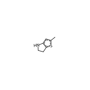 Cc1cc2c(s1)CCN2